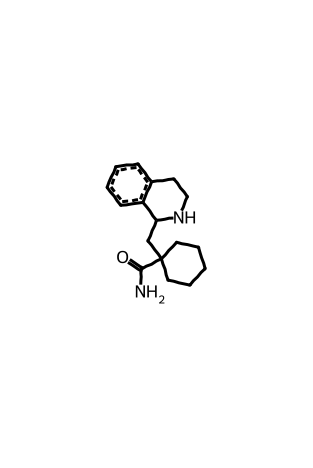 NC(=O)C1(CC2NCCc3ccccc32)CCCCC1